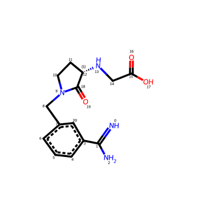 N=C(N)c1cccc(CN2CC[C@H](NCC(=O)O)C2=O)c1